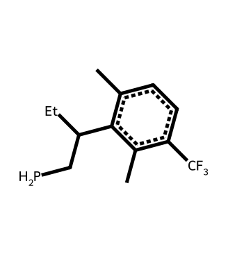 CCC(CP)c1c(C)ccc(C(F)(F)F)c1C